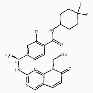 C[C@H](Nc1ncc2ccc(=O)n(CC(C)(C)C)c2n1)c1ccc(C(=O)NC2CCC(F)(F)CC2)c(Cl)c1